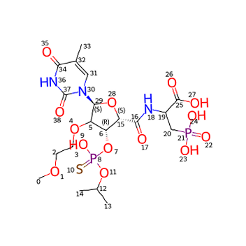 COCCOC1[C@@H](OP(O)(=S)OC(C)C)[C@@H](C(=O)NC(CP(=O)(O)O)C(=O)O)O[C@@H]1n1cc(C)c(=O)[nH]c1=O